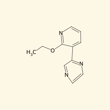 CCOc1ncccc1-c1cnccn1